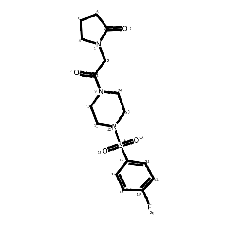 O=C(CN1CCCC1=O)N1CCN(S(=O)(=O)c2ccc(F)cc2)CC1